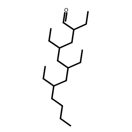 CCCCC(CC)CC(CC)CC(CC)CC(C=O)CC